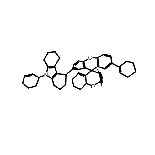 C1=CC2OC3CCCC=C3C3(c4cc(C5=CCCCC5)ccc4Oc4ccc(C5CCCc6c5c5c(n6C6C=CCCC6)CCCC5)cc43)C2C=C1